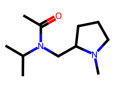 CC(=O)N(CC1CCCN1C)C(C)C